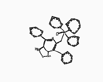 ClP(CC1=C(c2ccccc2)C2NSNC2C(c2ccccc2)=N1)(c1ccccc1)(c1ccccc1)c1ccccc1